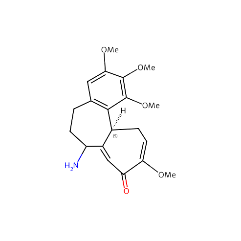 COC1=CC[C@H]2C(=CC1=O)C(N)CCc1cc(OC)c(OC)c(OC)c12